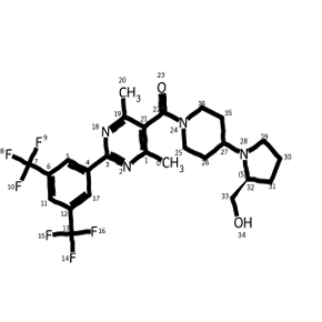 Cc1nc(-c2cc(C(F)(F)F)cc(C(F)(F)F)c2)nc(C)c1C(=O)N1CCC(N2CCC[C@H]2CO)CC1